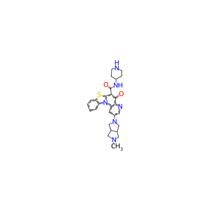 CN1CC2CN(c3cnc4c(=O)c(C(=O)NC5CCNCC5)c5sc6ccccc6n5c4c3)CC2C1